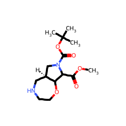 COC(=O)C1C2OCCNC[C@H]2CN1C(=O)OC(C)(C)C